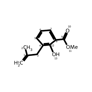 C=C(C)Cc1cccc(C(=O)OC)c1O